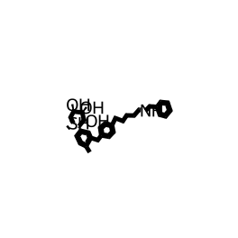 Cc1ccc([C@H]2[C@H](O)[C@H](O)[C@H](O)C[SH]2C)cc1Cc1ccc(CCCCCNCc2ccccc2)cc1